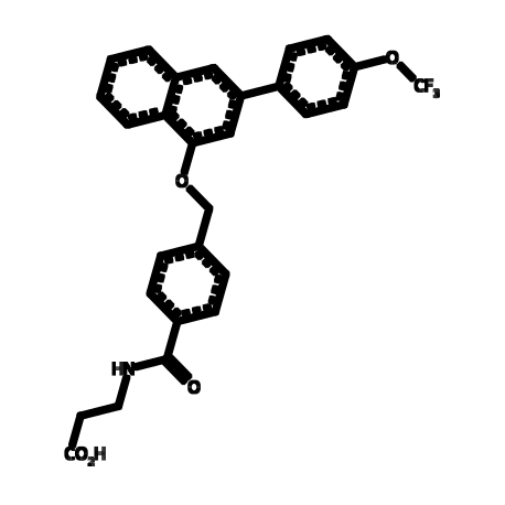 O=C(O)CCNC(=O)c1ccc(COc2cc(-c3ccc(OC(F)(F)F)cc3)cc3ccccc23)cc1